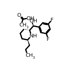 CC(=O)O.CCC[C@H]1CCC[C@H]([C@@H](O)c2cc(F)cc(F)c2)N1